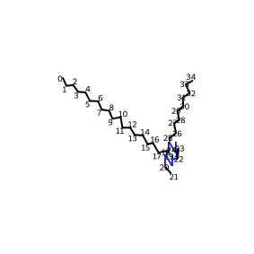 CCCCCCCCCCCCCCCCCCC1N(CC)C=CN1CCCCCCCCCC